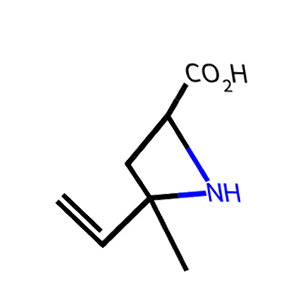 C=CC1(C)CC(C(=O)O)N1